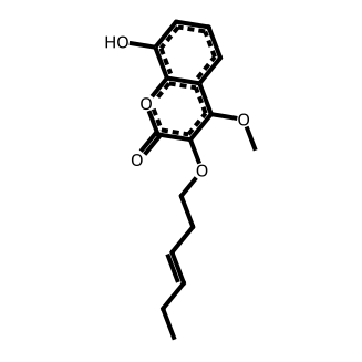 CCC=CCCOc1c(OC)c2cccc(O)c2oc1=O